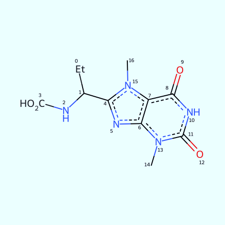 CCC(NC(=O)O)c1nc2c(c(=O)[nH]c(=O)n2C)n1C